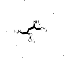 C=C/C(N)=C\C(=C/N)OC